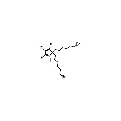 FC1=C(F)C(CCCCCCBr)(CCCCCCBr)C(F)=C1F